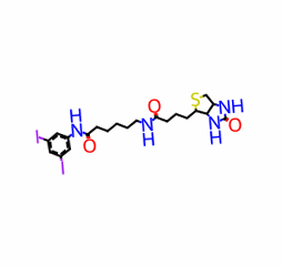 O=C(CCCC1SCC2NC(=O)NC21)NCCCCCC(=O)Nc1cc(I)cc(I)c1